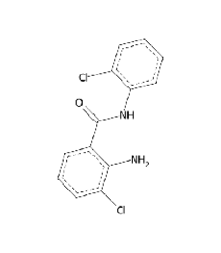 Nc1c(Cl)cccc1C(=O)Nc1ccccc1Cl